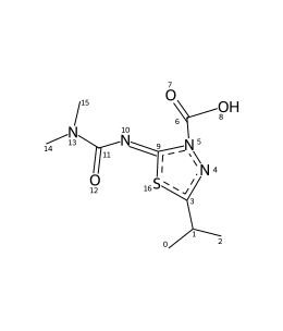 CC(C)c1nn(C(=O)O)c(=NC(=O)N(C)C)s1